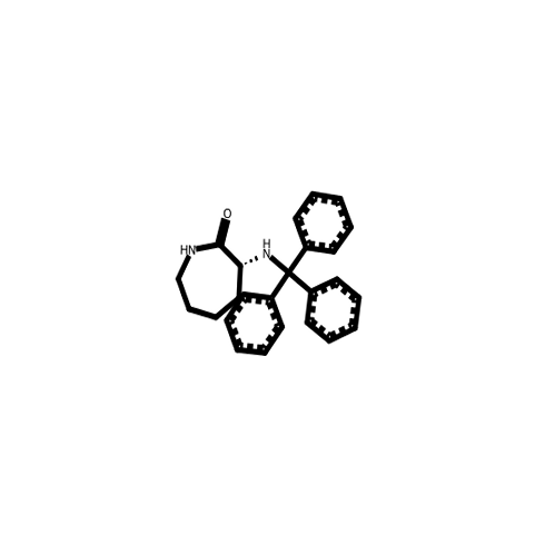 O=C1NCCCC[C@H]1NC(c1ccccc1)(c1ccccc1)c1ccccc1